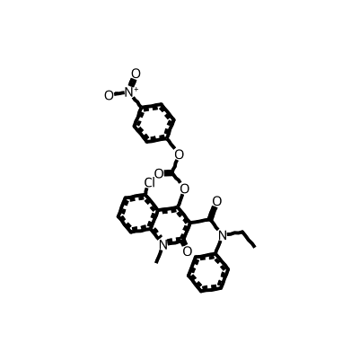 CCN(C(=O)c1c(OC(=O)Oc2ccc([N+](=O)[O-])cc2)c2c(Cl)cccc2n(C)c1=O)c1ccccc1